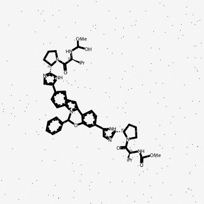 COC(=O)N[C@H](C(=O)N1CCC[C@H]1c1ncc(-c2ccc3c(c2)OC(c2ccccc2)n2c-3cc3cc(-c4cnc([C@@H]5CCCN5C(=O)[C@@H](NC(O)OC)C(C)C)[nH]4)ccc32)[nH]1)C(C)C